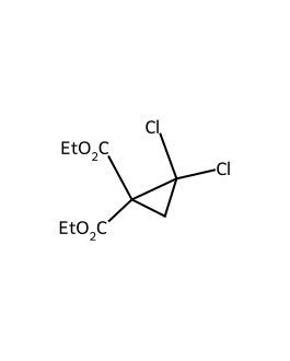 CCOC(=O)C1(C(=O)OCC)CC1(Cl)Cl